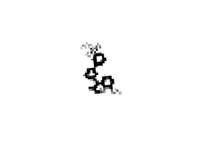 CCCS(=O)(=O)c1cccc(-c2cccc(-c3c(C)cnc4c(C(F)(F)F)cccc34)c2)c1